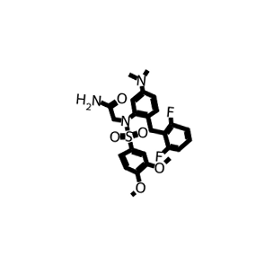 COc1ccc(S(=O)(=O)N(CC(N)=O)c2cc(N(C)C)ccc2Cc2c(F)cccc2F)cc1OC